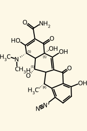 C[C@H]1c2c([N+]#N)ccc(O)c2C(=O)C2=C(O)[C@]3(O)C(=O)C(C(N)=O)=C(O)[C@@H](N(C)C)C3[C@@H](O)C21